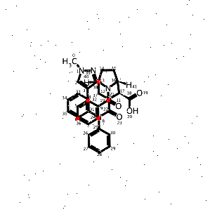 Cn1cc(-c2ccccc2C(=O)N2[C@H]3CC[C@@H]2[C@@H](C(=O)O)N(C(=O)N(c2ccccc2)c2ccccc2)C3)cn1